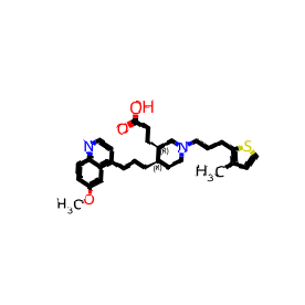 COc1ccc2nccc(CCC[C@@H]3CCN(CCCc4sccc4C)C[C@@H]3CCC(=O)O)c2c1